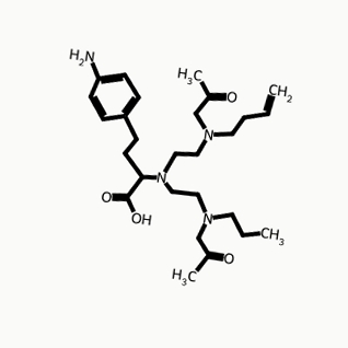 C=CCCN(CCN(CCN(CCC)CC(C)=O)C(CCc1ccc(N)cc1)C(=O)O)CC(C)=O